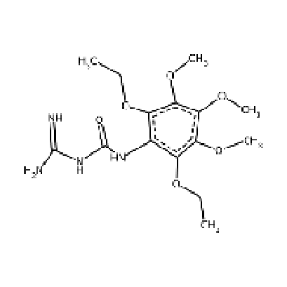 CCOc1c(NC(=O)NC(=N)N)c(OCC)c(OC)c(OC)c1OC